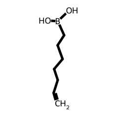 C=CCCCCCB(O)O